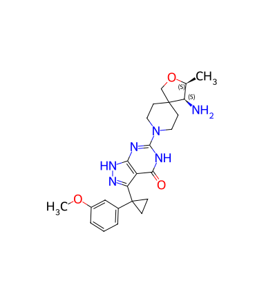 COc1cccc(C2(c3n[nH]c4nc(N5CCC6(CC5)CO[C@@H](C)[C@H]6N)[nH]c(=O)c34)CC2)c1